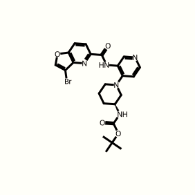 CC(C)(C)OC(=O)N[C@H]1CCCN(c2ccncc2NC(=O)c2ccc3occ(Br)c3n2)C1